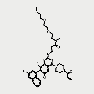 C=CC(=O)N1CCN(c2nc(NCCC(=O)N(C)CCOCCOCCOC)nc3c(F)c(-c4cc(O)cc5ccccc45)c(Cl)cc23)CC1